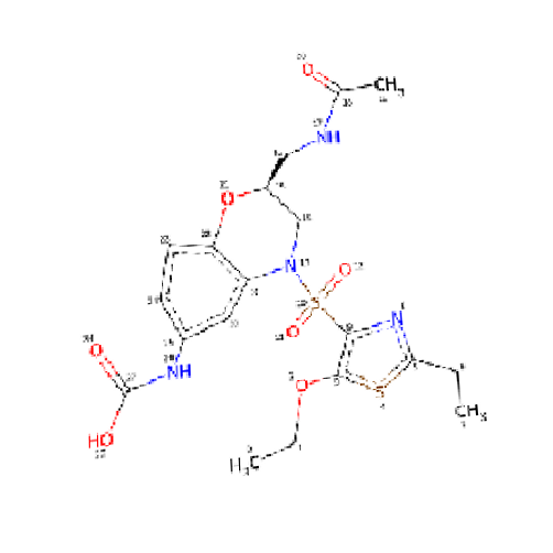 CCOc1sc(CC)nc1S(=O)(=O)N1C[C@H](CNC(C)=O)Oc2ccc(NC(=O)O)cc21